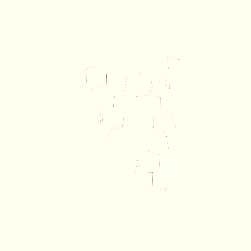 O=C(O)c1cccc(CN2CCC(c3nn(C4CC4)c4ccc(C(c5ccc(Cl)cc5)c5ccc(Cl)cc5)cc34)CC2)c1